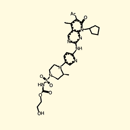 CC(=O)c1c(C)c2cnc(Nc3ccc(N4CCN(S(=O)(=O)NC(=O)OCCO)C[C@@H]4C)cn3)nc2n(C2CCCC2)c1=O